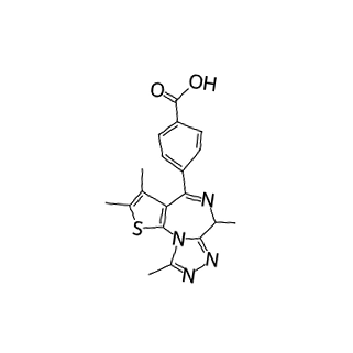 Cc1sc2c(c1C)C(c1ccc(C(=O)O)cc1)=NC(C)c1nnc(C)n1-2